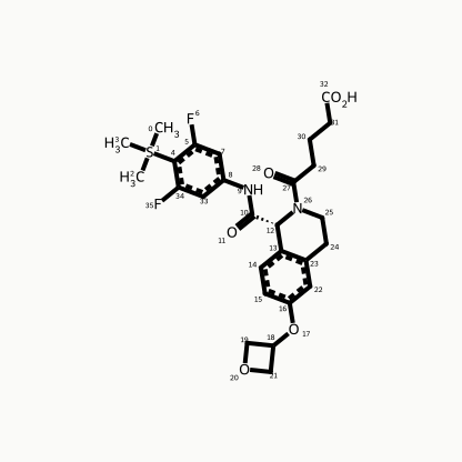 CS(C)(C)c1c(F)cc(NC(=O)[C@H]2c3ccc(OC4COC4)cc3CCN2C(=O)CCCC(=O)O)cc1F